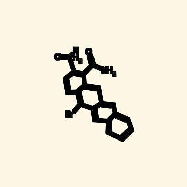 NC(=O)c1ccc2c(Br)c3cc4ccccc4cc3cc2c1C(N)=O